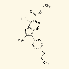 CCOC(=O)c1nnc2c(-c3ccc(OCC)cc3)c(C)nn2c1C